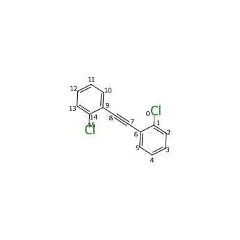 Clc1ccccc1C#Cc1ccccc1Cl